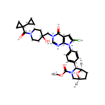 CC(C)(C)OC(=O)N1C[C@@H]2CC[C@@H](O2)[C@@H]1c1ccc(-n2c(Cl)cc3c(=O)n(CC4(O)CCN(C(=O)C5(C6CC6)CC5)CC4)cnc32)cc1